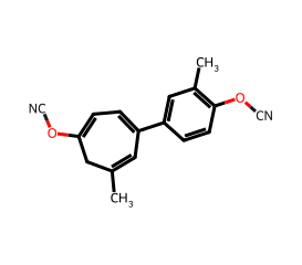 CC1=CC(c2ccc(OC#N)c(C)c2)=CC=C(OC#N)C1